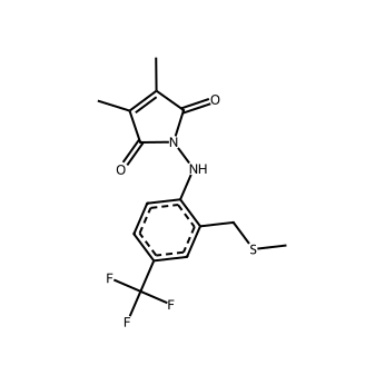 CSCc1cc(C(F)(F)F)ccc1NN1C(=O)C(C)=C(C)C1=O